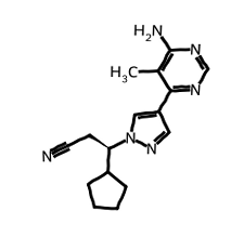 Cc1c(N)ncnc1-c1cnn([C@H](CC#N)C2CCCC2)c1